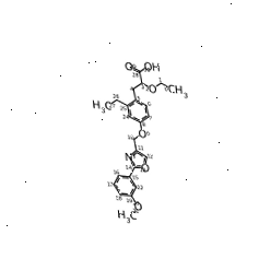 CCOC(Cc1ccc(OCc2coc(-c3cccc(OC)c3)n2)cc1CC)C(=O)O